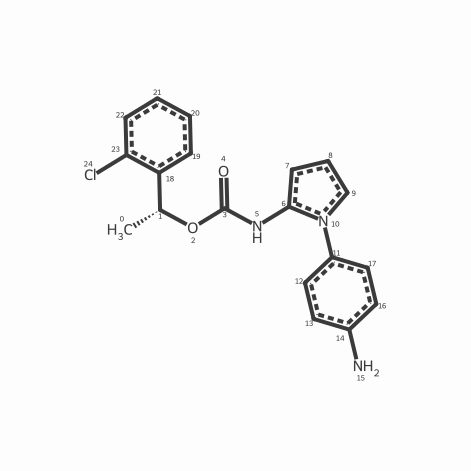 C[C@@H](OC(=O)Nc1cccn1-c1ccc(N)cc1)c1ccccc1Cl